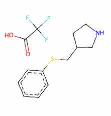 O=C(O)C(F)(F)F.c1ccc(SCC2CCNC2)cc1